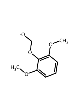 COc1cccc(OC)c1OC[O]